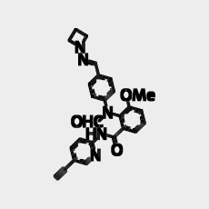 C#Cc1ccc(NC(=O)c2cccc(OC)c2N(C=O)c2ccc(C=NN3CCC3)cc2)nc1